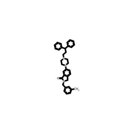 Cc1cccc(CN2Cc3ccc(N4CCN(CCC(c5ccccc5)c5ccccc5)CC4)cc3C2=O)c1